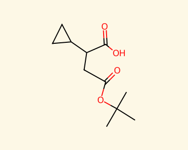 CC(C)(C)OC(=O)CC(C(=O)O)C1CC1